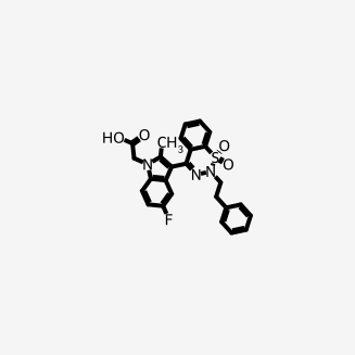 Cc1c(C2=NN(CCc3ccccc3)S(=O)(=O)c3ccccc32)c2cc(F)ccc2n1CC(=O)O